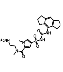 CC(=O)NCCN(C)C(=O)c1cc(S(=O)(=O)NC(=O)Nc2c3c(cc4c2CCC4)CCC3)cn1C